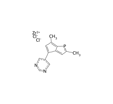 CC1=PC2=C(C)C=C(c3cncnc3)C2=C1.[Cl-].[Cl-].[Zr+2]